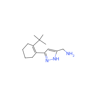 CC(C)(C)C1=C(c2cc(CN)[nH]n2)CCCC1